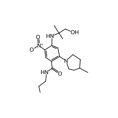 CCCNC(=O)c1cc([N+](=O)[O-])c(NC(C)(C)CO)cc1N1CCC(C)CC1